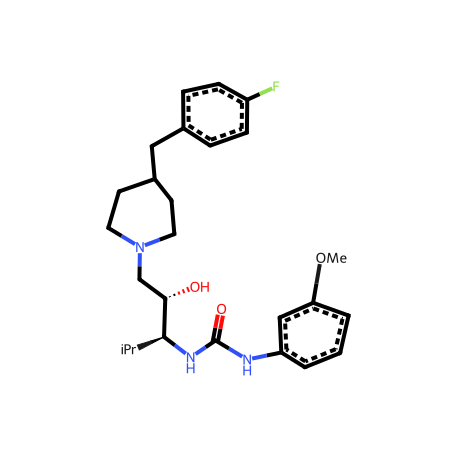 COc1cccc(NC(=O)N[C@@H](C(C)C)[C@@H](O)CN2CCC(Cc3ccc(F)cc3)CC2)c1